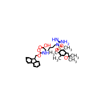 Cc1c(C)c(S(=O)(=O)N(CCCC[C@H](NC(=O)OCC2c3ccccc3-c3ccccc32)C(=O)O)C(=N)N)c(C)c2c1OC(C)(C)C2